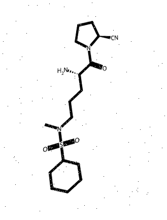 CN(CCC[C@H](N)C(=O)N1CCC[C@H]1C#N)S(=O)(=O)C1CCCCC1